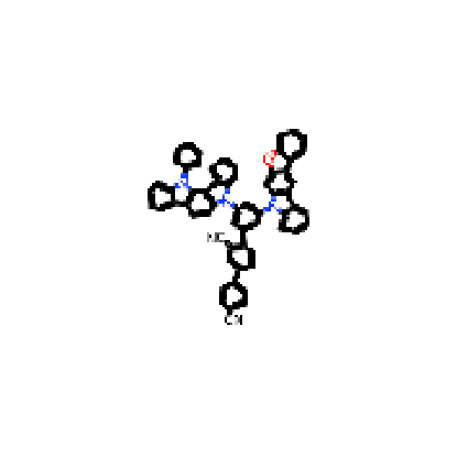 N#Cc1ccc(-c2ccc(-c3cc(-n4c5ccccc5c5cc6c(cc54)oc4ccccc46)cc(-n4c5ccccc5c5c4ccc4c6ccccc6n(-c6ccccc6)c45)c3)c(C#N)c2)cc1